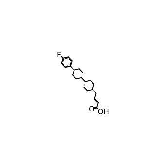 O=C(O)/C=C/C[C@H]1CC[C@H]([C@H]2CC[C@H](c3ccc(F)cc3)CC2)CC1